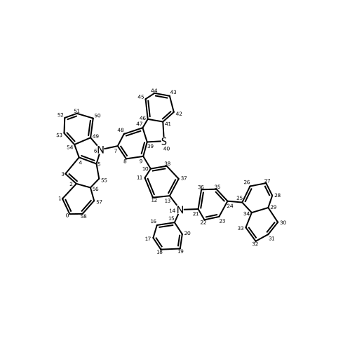 C1=CC2=Cc3c(n(-c4cc(-c5ccc(N(c6ccccc6)c6ccc(C7=CC=CC8C=CC=CC78)cc6)cc5)c5sc6ccccc6c5c4)c4ccccc34)CC2C=C1